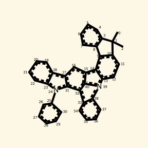 CC1(C)c2ccccc2-c2c1ccc1c2c2cc3c4ccccc4n(-c4ccccc4)c3c3c4ccccc4n1c23